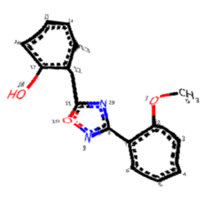 COc1ccccc1-c1noc(-c2ccccc2O)n1